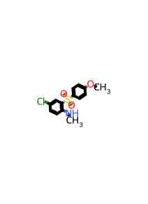 CNc1ccc(Cl)cc1S(=O)(=O)c1ccc(OC)cc1